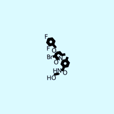 Cc1ccc(C(=O)NCCO)cc1-n1c(C)cc(OCc2ccc(F)cc2F)c(Br)c1=O